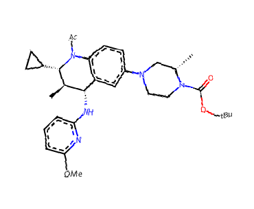 COc1cccc(N[C@H]2c3cc(N4CCN(C(=O)OC(C)(C)C)[C@@H](C)C4)ccc3N(C(C)=O)[C@@H](C3CC3)[C@@H]2C)n1